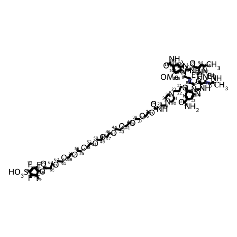 CCN/C(=C\C(C)=N)C(=O)Nc1nc2cc(C(N)=O)cc(OCCCN3CCN(CCNC(=O)OCCOCCOCCOCCOCCOCCOCCOCCOCCOCCOCCC(=O)Oc4c(F)c(F)c(S(=O)(=O)O)c(F)c4F)CC3)c2n1C/C=C/Cn1c(NC(=O)c2cc(C)nn2CC)nc2cc(C(N)=O)cc(OC)c21